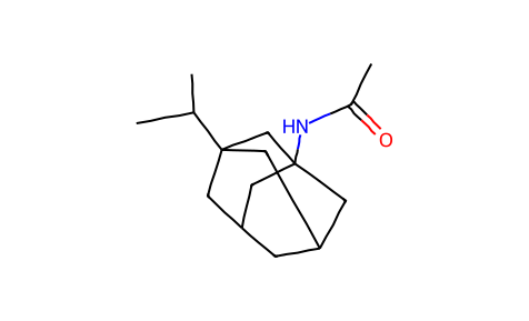 CC(=O)NC12CC3CC(C1)CC(C(C)C)(C3)C2